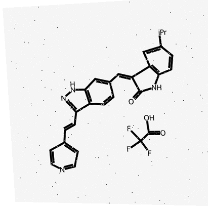 CC(C)c1ccc2c(c1)C(=Cc1ccc3c(C=Cc4ccncc4)n[nH]c3c1)C(=O)N2.O=C(O)C(F)(F)F